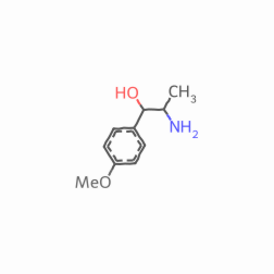 COc1ccc(C(O)C(C)N)cc1